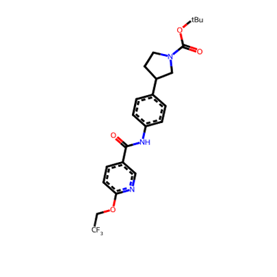 CC(C)(C)OC(=O)N1CCC(c2ccc(NC(=O)c3ccc(OCC(F)(F)F)nc3)cc2)C1